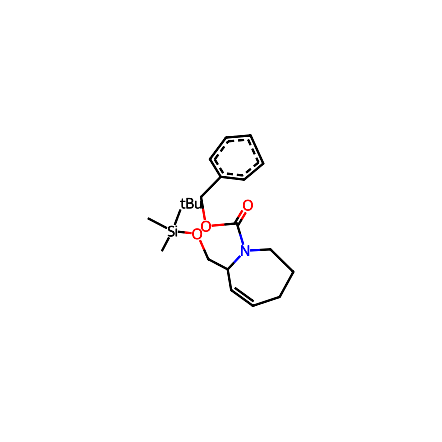 CC(C)(C)[Si](C)(C)OCC1C=CCCCN1C(=O)OCc1ccccc1